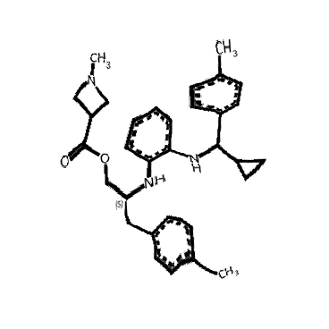 Cc1ccc(C[C@@H](COC(=O)C2CN(C)C2)Nc2ccccc2NC(c2ccc(C)cc2)C2CC2)cc1